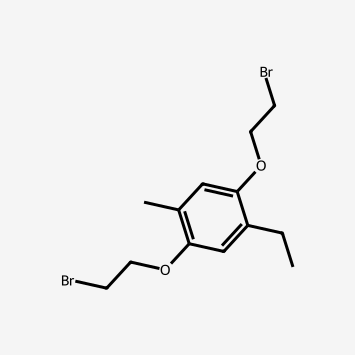 CCc1cc(OCCBr)c(C)cc1OCCBr